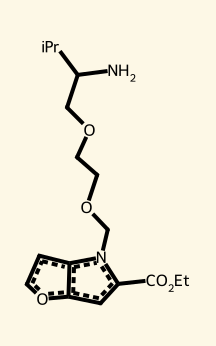 CCOC(=O)c1cc2occc2n1COCCOCC(N)C(C)C